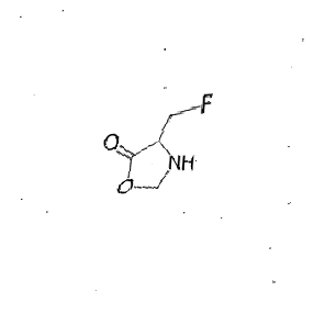 O=C1OCNC1CF